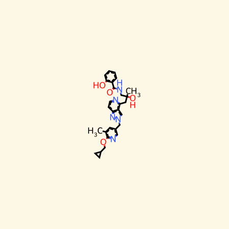 Cc1cc(Cn2cc3c(CC(C)(O)CNC(=O)c4ccccc4O)nccc3n2)cnc1OCC1CC1